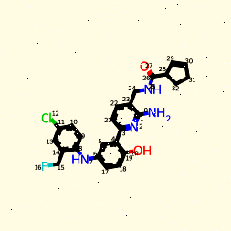 Nc1nc(-c2cc(Nc3ccc(Cl)cc3CF)ccc2O)ccc1CNC(=O)C1C=CCC1